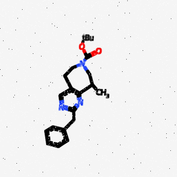 CC1CN(C(=O)OC(C)(C)C)CCc2cnc(Cc3ccccc3)nc21